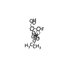 CCOc1ccc(CC(=O)O)cc1-c1ccc(F)c2c1CN(OC(=O)OCC(C)C)CC2